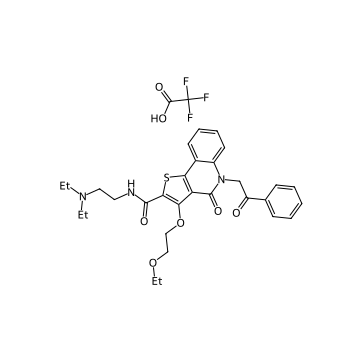 CCOCCOc1c(C(=O)NCCN(CC)CC)sc2c1c(=O)n(CC(=O)c1ccccc1)c1ccccc21.O=C(O)C(F)(F)F